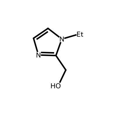 CCn1ccnc1CO